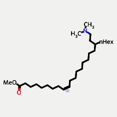 CCCCCCC(CCCCCCCC/C=C\CCCCCCCC(=O)OC)CCN(C)C